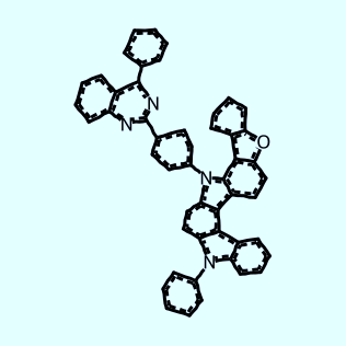 c1ccc(-c2nc(-c3ccc(-n4c5ccc6c(c7ccccc7n6-c6ccccc6)c5c5ccc6oc7ccccc7c6c54)cc3)nc3ccccc23)cc1